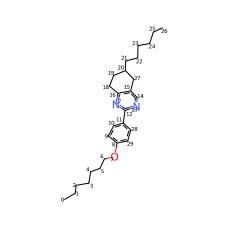 CCCCCCCOc1ccc(-c2ncc3c(n2)CCC(CCCCCC)C3)cc1